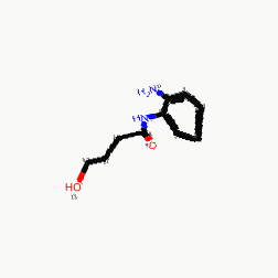 Nc1ccccc1NC(=O)CCCO